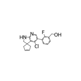 OCc1cccc(-c2cnc3c(c2Cl)C2(CC=CC2)CN3)c1F